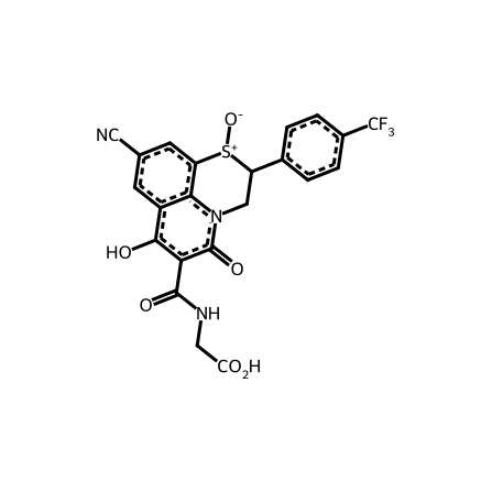 N#Cc1cc2c3c(c1)c(O)c(C(=O)NCC(=O)O)c(=O)n3CC(c1ccc(C(F)(F)F)cc1)[S+]2[O-]